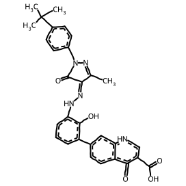 CC1=NN(c2ccc(C(C)(C)C)cc2)C(=O)C1=NNc1cccc(-c2ccc3c(=O)c(C(=O)O)c[nH]c3c2)c1O